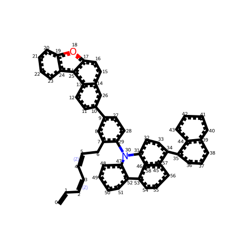 C=C/C=C\C=C/Cc1cc(-c2ccc3c(ccc4oc5ccccc5c43)c2)ccc1N(c1ccc(-c2cccc3ccccc23)cc1)c1ccccc1-c1ccccc1